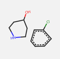 Clc1ccccc1.OC1CCNCC1